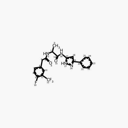 CC(NC(=O)Cc1ccc(F)c(C(F)(F)F)c1)C(=O)Nc1cc(-c2ccccc2)n[nH]1